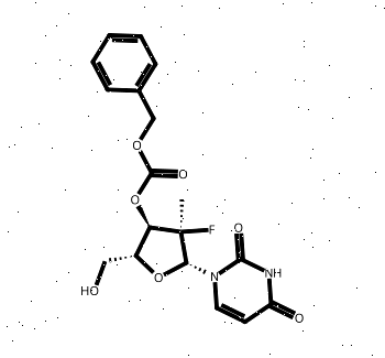 C[C@@]1(F)[C@H](OC(=O)OCc2ccccc2)[C@@H](CO)O[C@H]1n1ccc(=O)[nH]c1=O